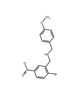 COc1ccc(CNCc2cc([N+](=O)[O-])ccc2Br)cc1